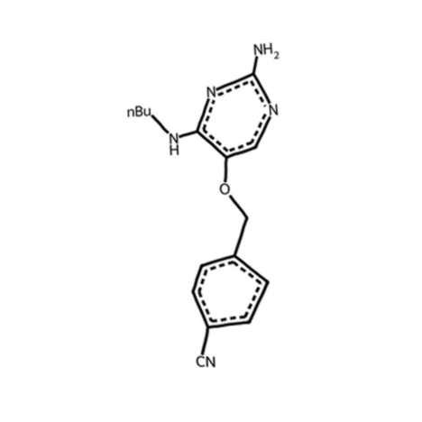 CCCCNc1nc(N)ncc1OCc1ccc(C#N)cc1